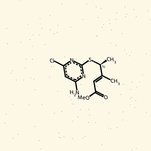 COC(=O)C=C(C)[C@H](C)Sc1nc(N)cc(Cl)n1